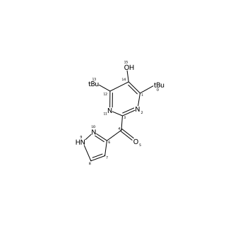 CC(C)(C)c1nc(C(=O)c2cc[nH]n2)nc(C(C)(C)C)c1O